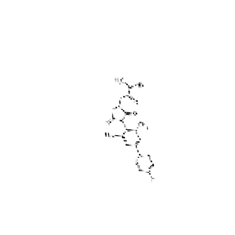 Cc1cc(-c2ccc(F)cn2)cc(C)c1C1C(=O)CC(CC(=O)N(C)C(C)(C)C)C1=O